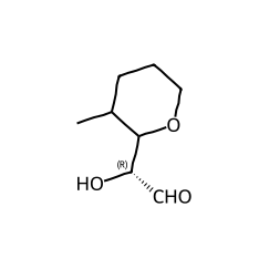 CC1CCCOC1[C@@H](O)C=O